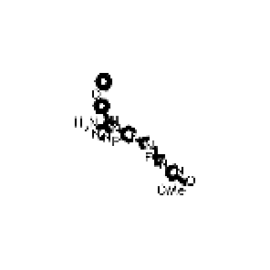 COC(=O)c1ccc(N2CC(F)(CN3CC(N4CC[C@H](n5nc(-c6ccc(Oc7ccccc7)cc6)c6c(N)ncnc65)[C@H](F)C4)C3)C2)cn1